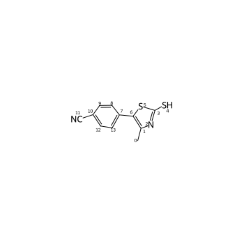 Cc1nc(S)sc1-c1ccc(C#N)cc1